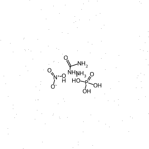 N.NC(N)=O.O=P(O)(O)O.O=[N+]([O-])O